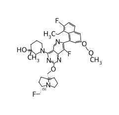 CCc1c(F)ccc2cc(OCOC)cc(-c3ncc4c(N5CCC[C@@](C)(O)C5)nc(OC[C@]56CCCN5[C@H](CF)CC6)nc4c3F)c12